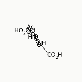 CC(=O)CC[C@H](NC(=O)COCCOCCNC(=O)COCCOCCNC(=O)CCCCCCCCCCCCCCC(=O)O)C(=O)O